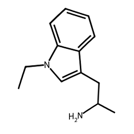 CCn1cc(CC(C)N)c2ccccc21